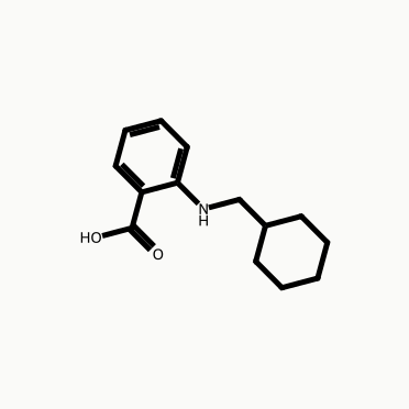 O=C(O)c1ccccc1NCC1CCCCC1